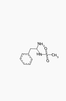 CS(=O)(=O)NC(N)Cc1ccccc1